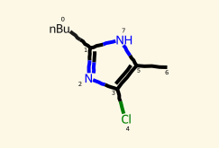 CCCCc1nc(Cl)c(C)[nH]1